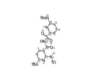 CCN(C)c1nc(C(C)(C)C)ccc1C(=O)NS(=O)(=O)c1cccc(NC)n1